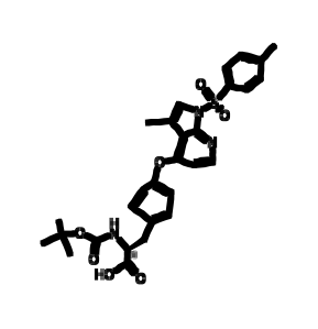 Cc1ccc(S(=O)(=O)n2cc(C)c3c(Oc4ccc(C[C@H](NC(=O)OC(C)(C)C)C(=O)O)cc4)ccnc32)cc1